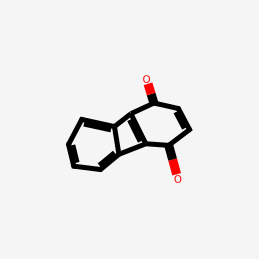 O=c1ccc(=O)c2c3ccccc3c1=2